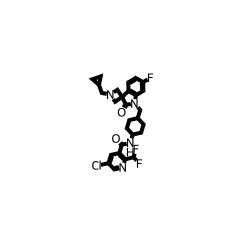 O=C(NC1CCC(CN2C(=O)C3(CN(CC4CC4)C3)c3ccc(F)cc32)CC1)c1cc(Cl)cnc1C(F)F